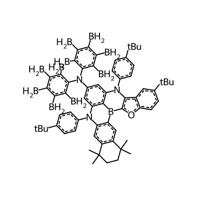 Bc1c(B)c(B)c(N(c2cc3c4c(c2)N(c2ccc(C(C)(C)C)cc2)c2c(oc5ccc(C(C)(C)C)cc25)B4c2cc4c(cc2N3c2ccc(C(C)(C)C)cc2)C(C)(C)CCC4(C)C)c2c(B)c(B)c(B)c(B)c2B)c(B)c1B